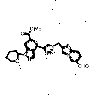 COC(=O)c1cc(-c2cn(Cc3cn4cc(C=O)ccc4n3)nn2)c2cnn(C3CCCCO3)c2c1